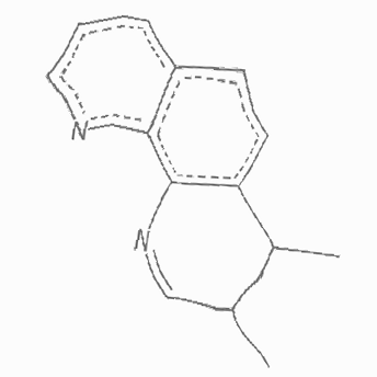 CC1C=Nc2c(ccc3cccnc23)C1C